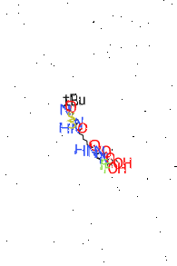 CC(C)(C)c1cnc(CSc2cnc(NC(=O)CCCCCC(=O)Nc3ccn([C@@H]4O[C@H](CO)[C@@H](O)C4(F)F)c(=O)n3)s2)o1